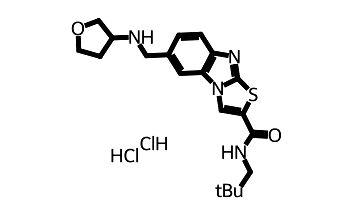 CC(C)(C)CNC(=O)c1cn2c(nc3ccc(CNC4CCOC4)cc32)s1.Cl.Cl